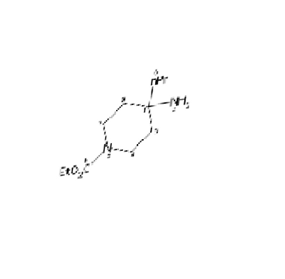 CCCC1(N)CCN(C(=O)OCC)CC1